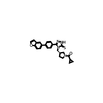 O=C(C1CC1)N1CC[C@@H](Cn2c(-c3ccc(-c4ccc5occc5c4)cc3)n[nH]c2=S)C1